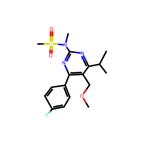 COCc1c(-c2ccc(F)cc2)nc(N(C)S(C)(=O)=O)nc1C(C)C